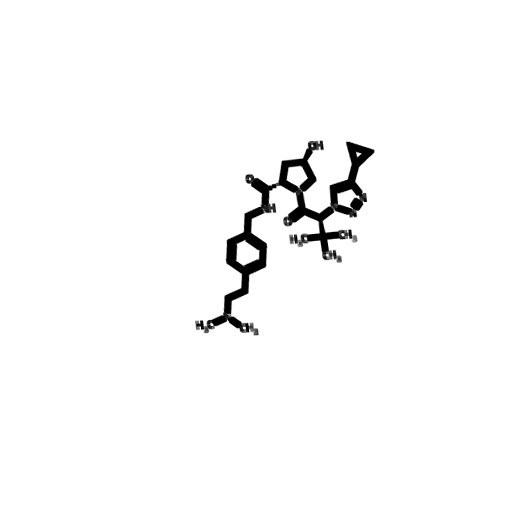 CN(C)CCc1ccc(CNC(=O)[C@@H]2C[C@@H](O)CN2C(=O)[C@@H](n2cc(C3CC3)nn2)C(C)(C)C)cc1